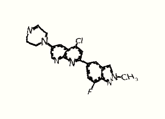 Cn1cc2cc(-c3cc(Cl)c4cc(N5CC=NCC5)cnc4n3)cc(F)c2n1